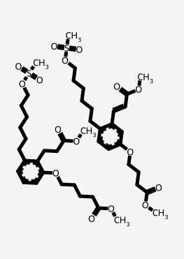 COC(=O)C=Cc1cc(OCCCC(=O)OC)ccc1CCCCCCOS(C)(=O)=O.COC(=O)CCCCOc1cccc(CCCCCCOS(C)(=O)=O)c1CCC(=O)OC